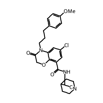 COc1ccc(CCCN2C(=O)COc3c(C(=O)NC4CN5CCC4CC5)cc(Cl)cc32)cc1